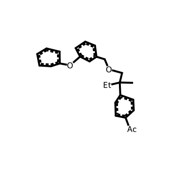 CCC(C)(COCc1cccc(Oc2ccccc2)c1)c1ccc(C(C)=O)cc1